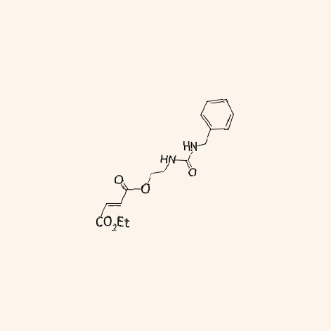 CCOC(=O)/C=C/C(=O)OCCNC(=O)NCc1ccccc1